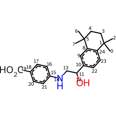 CC1(C)CCC(C)(C)c2cc(C(O)CNc3ccc(C(=O)O)cc3)ccc21